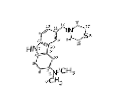 CN(C)C1CCc2[nH]c3ccc(CN4CCSCC4)cc3c2C1